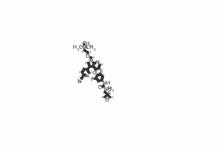 CC1(CNC(=O)Nc2cc(F)c(Oc3ccnc4c3c(-c3ccc(C#N)nc3)cn4COCC[Si](C)(C)C)c(F)c2)COC1